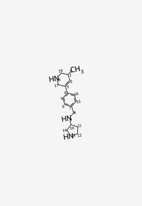 CC1C=C(c2ccc(CNC3CCNC3)cc2)CNC1